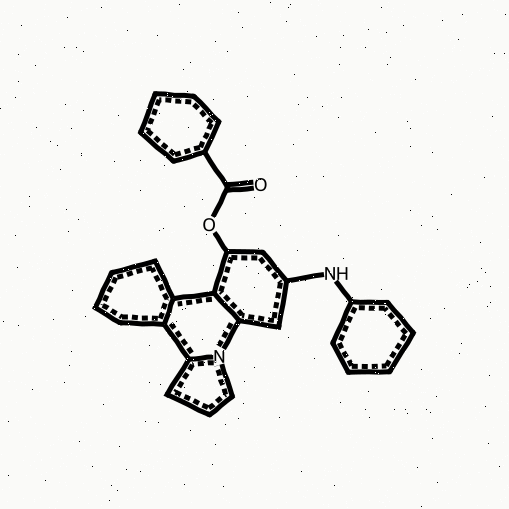 O=C(Oc1cc(Nc2ccccc2)cc2c1c1ccccc1c1cccn12)c1ccccc1